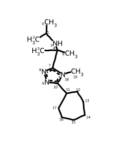 CC(C)NC(C)(C)c1nnc(C2CCCCCC2)n1C